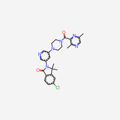 Cc1cnc(C)c(C(=O)N2CCN(c3cncc(N4C(=O)c5ccc(Cl)cc5C4(C)C)c3)CC2)n1